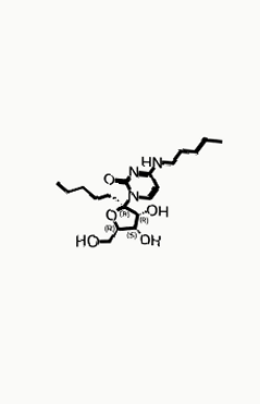 CCCCCNc1ccn([C@]2(CCCCC)O[C@H](CO)[C@@H](O)[C@H]2O)c(=O)n1